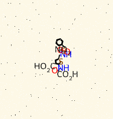 O=C(O)C(=O)Nc1sc(CNS(=O)(=O)Cc2ccccc2[N+](=O)[O-])cc1C(=O)O